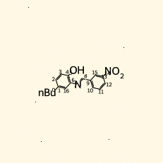 CCCCc1ccc(O)c(/N=C/c2cccc([N+](=O)[O-])c2)c1